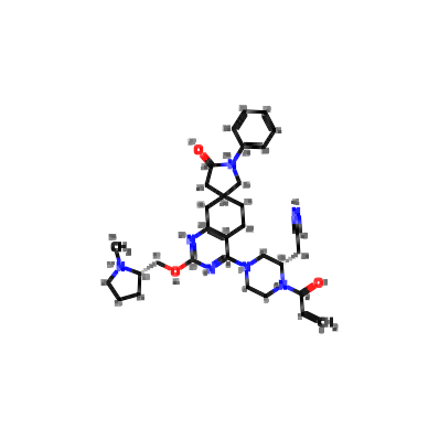 C=CC(=O)N1CCN(c2nc(OC[C@@H]3CCCN3C)nc3c2CCC2(CC(=O)N(c4ccccc4)C2)C3)C[C@@H]1CC#N